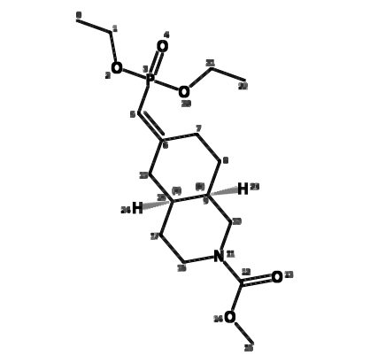 CCOP(=O)(C=C1CC[C@H]2CN(C(=O)OC)CC[C@H]2C1)OCC